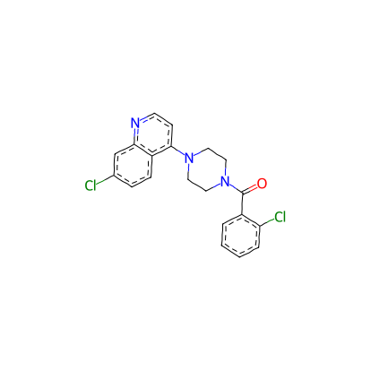 O=C(c1ccccc1Cl)N1CCN(c2ccnc3cc(Cl)ccc23)CC1